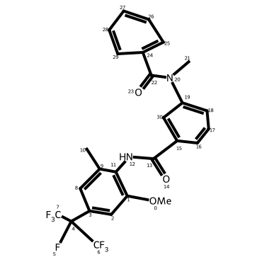 COc1cc(C(F)(C(F)(F)F)C(F)(F)F)cc(C)c1NC(=O)c1cccc(N(C)C(=O)c2ccccc2)c1